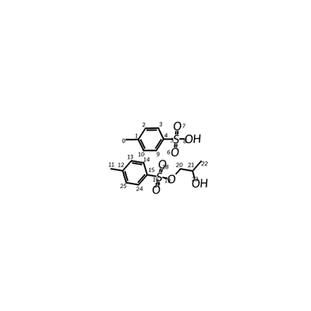 Cc1ccc(S(=O)(=O)O)cc1.Cc1ccc(S(=O)(=O)OCC(C)O)cc1